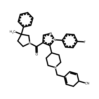 CC1(c2ccccc2)CCN(C(=O)c2cnn(-c3ccc(F)cc3)c2C2CCN(CC3=CCC(C#N)C=C3)CC2)C1